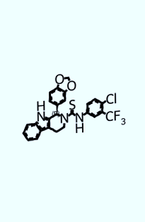 FC(F)(F)c1cc(NC(=S)N2CCc3c([nH]c4ccccc34)[C@H]2c2ccc3c(c2)OCO3)ccc1Cl